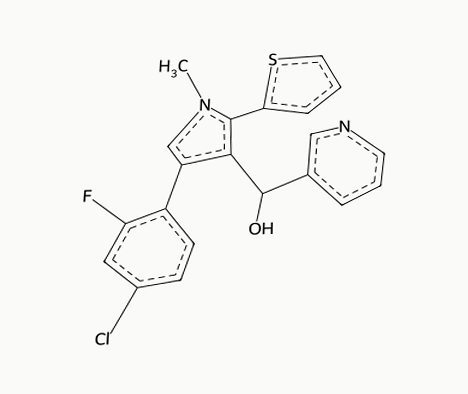 Cn1cc(-c2ccc(Cl)cc2F)c(C(O)c2cccnc2)c1-c1cccs1